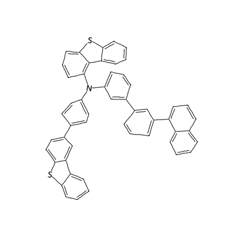 c1cc(-c2cccc(N(c3ccc(-c4ccc5sc6ccccc6c5c4)cc3)c3cccc4sc5ccccc5c34)c2)cc(-c2cccc3ccccc23)c1